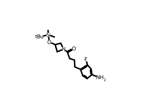 CC(C)(C)[Si](C)(C)OC1CN(C(=O)CCCc2ccc(N)cc2F)C1